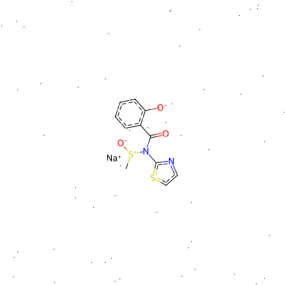 C[S+]([O-])N(C(=O)c1ccccc1[O-])c1nccs1.[Na+]